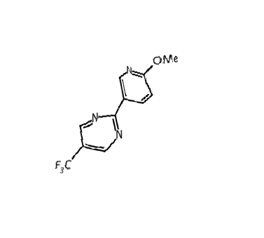 COc1ccc(-c2ncc(C(F)(F)F)cn2)cn1